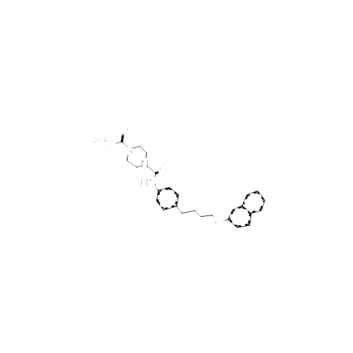 CC(C)(C)OC(=O)N1CCN(C(=O)Nc2ccc(CCCCOc3ccc4ccccc4c3)cc2)CC1